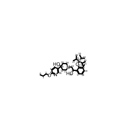 CCCOc1ccc(C2(O)CCN(CC(O)c3cccc(C)c3O[Si](C(C)C)(C(C)C)C(C)C)CC2)cn1